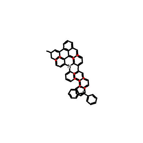 CC1C=C(c2cccc3cccc(-c4ccccc4N(c4cccc(-c5cccc6c5c5ccccc5n6-c5ccccc5)c4)c4ccccc4-c4ccc(-c5ccccc5)cc4)c23)C=CC1